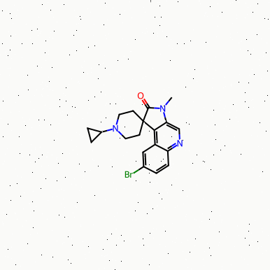 CN1C(=O)C2(CCN(C3CC3)CC2)c2c1cnc1ccc(Br)cc21